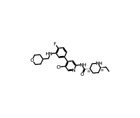 CC[C@H]1CC[C@H](C(=O)Nc2cc(-c3ccc(F)c(NCC4CCOCC4)c3)c(Cl)cn2)CN1